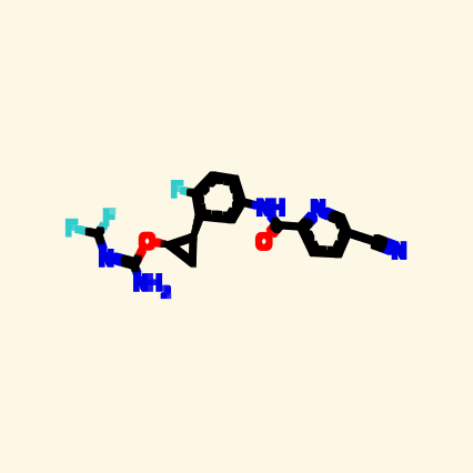 N#Cc1ccc(C(=O)Nc2ccc(F)c([C@H]3C[C@H]3O/C(N)=N\C(F)F)c2)nc1